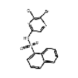 O=S(=O)(Nc1cnc(Br)c(Cl)n1)c1cccc2ccccc12